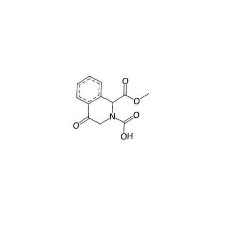 COC(=O)C1c2ccccc2C(=O)CN1C(=O)O